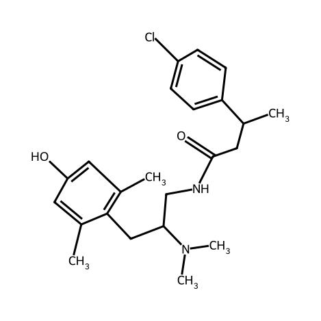 Cc1cc(O)cc(C)c1CC(CNC(=O)CC(C)c1ccc(Cl)cc1)N(C)C